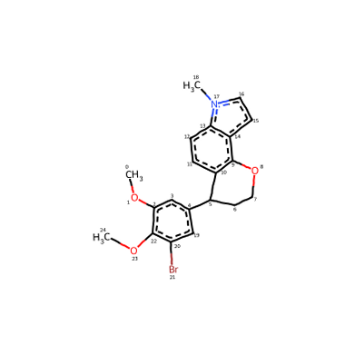 COc1cc(C2CCOc3c2ccc2c3ccn2C)cc(Br)c1OC